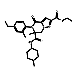 CCOC(=O)c1cc2n(n1)CC(C)(C(=O)NC1CCC(C)CC1)N(c1ccc(CI)cc1C)C2=O